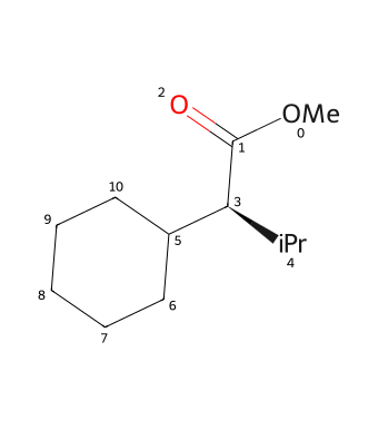 COC(=O)[C@@H](C(C)C)C1CCCCC1